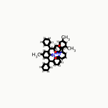 Cc1cc(C)c(-c2cccc3c[n+](-c4c(C(c5ccccc5)c5ccccc5)cc(C)cc4C(c4ccccc4)c4ccccc4)cn23)c(C)c1